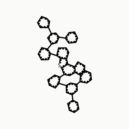 c1ccc(-c2cc(-c3ccccc3)cc(-c3ccccc3-c3cccc4c3sc3c(-c5ccccc5-c5cc(-c6ccccc6)cc(-c6ccccc6)c5)cc5ccccc5c34)c2)cc1